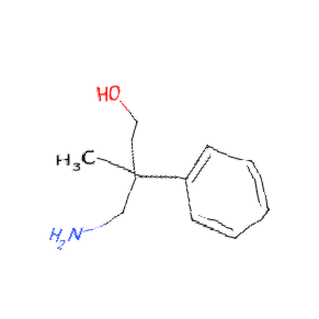 CC(CN)(CO)c1ccccc1